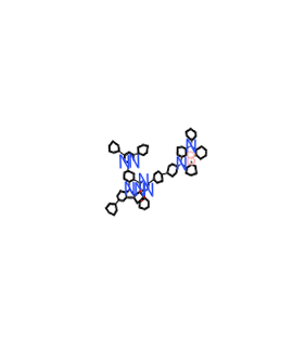 c1ccc(-c2ccc3c(c2)c2ccccc2n3-c2ccc(-c3nc(-c4ccccc4)cc(-c4ccccc4)n3)cc2-c2nc(-c3ccccc3)nc(-c3ccc(-c4ccc(N5c6ccccc6B6c7ccccc7N(c7ccccc7)c7cccc5c76)cc4)cc3)n2)cc1